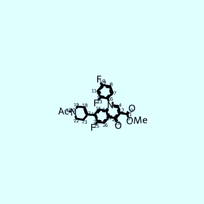 COC(=O)c1cn(-c2ccc(F)cc2F)c2cc(C3=CCN(C(C)=O)CC3)c(F)cc2c1=O